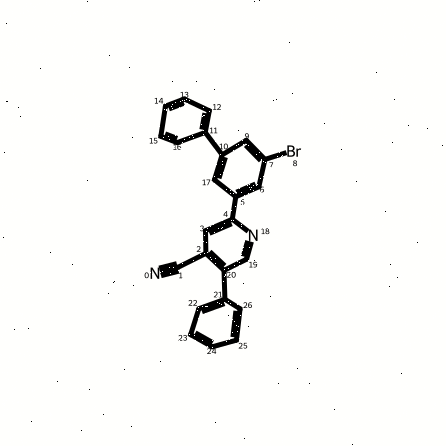 N#Cc1cc(-c2cc(Br)cc(-c3ccccc3)c2)ncc1-c1ccccc1